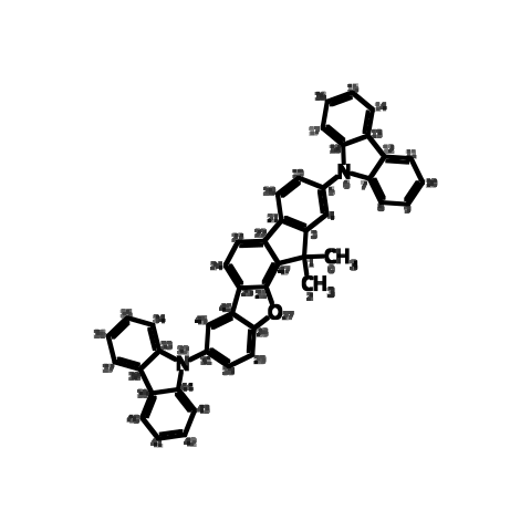 CC1(C)c2cc(-n3c4ccccc4c4ccccc43)ccc2-c2ccc3c(oc4ccc(-n5c6ccccc6c6ccccc65)cc43)c21